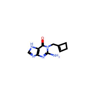 Nc1nc2nc[nH]c2c(=O)n1CC1=CCC1